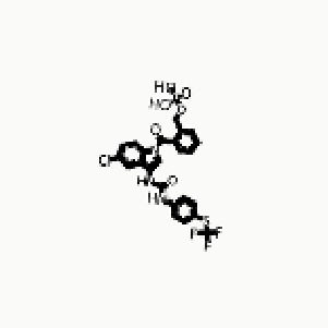 O=C(Nc1ccc(SC(F)(F)F)cc1)Nc1cn(C(=O)c2ccccc2COP(=O)(O)O)c2ccc(Cl)cc12